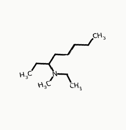 CCCCCC(CC)N(C)CC